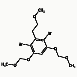 COCCc1c(Br)c(OCOC)cc(OCOC)c1Br